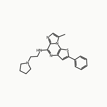 Cc1cnc2c(NCCN3CCCC3)nc3cc(-c4ccccc4)sc3n12